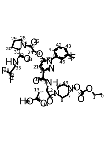 CCOC(=O)ON1CCN(C(=O)[C@H](CC(=O)O)NC(=O)c2cc(OCC(=O)N3CCC[C@H]3C(=O)NCC(F)F)n(-c3cccc(F)c3)n2)CC1